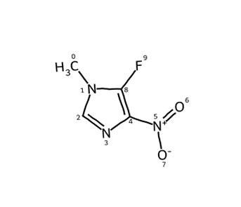 Cn1cnc([N+](=O)[O-])c1F